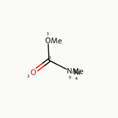 CNC(=O)OC.[Ni]